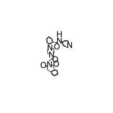 O=C(Nc1ccncc1)c1ccccc1N1CCN(C(=O)CN2C(=O)Cc3ccccc3C2=O)CC1